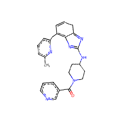 Cc1cccc(C2=C3N=C(NC4CCN(C(=O)c5cccnc5)CC4)N=C3CC=C2)n1